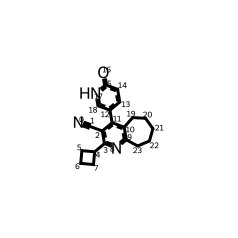 N#Cc1c(C2CCC2)nc2c(c1-c1ccc(=O)[nH]c1)CCCCC2